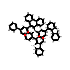 c1ccc(-c2cccc(-c3c(N(c4cccc(-c5cccc6oc7ccccc7c56)c4)c4ccccc4-c4cccc5c4sc4ccccc45)c4ccccc4c4ccccc34)c2)cc1